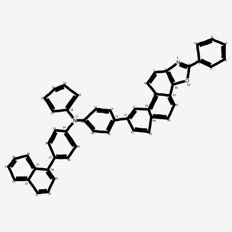 c1ccc(-c2nc3ccc4c5cc(-c6ccc(N(c7ccccc7)c7ccc(-c8cccc9ccccc89)cc7)cc6)ccc5ccc4c3o2)cc1